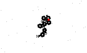 CC1CCC=C([Si]2(c3ccccc3)C3=CCCC=C3Oc3c2ccc2c3c3ccccc3n2-c2ccc3oc4ccc(C#N)cc4c3c2)C1